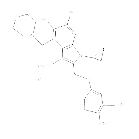 CCOC(=O)c1c(CSc2ccc(OC)c(OC)c2)n(C2CC2)c2cc(Br)c(O)c(CN3CCOCC3)c12.Cl